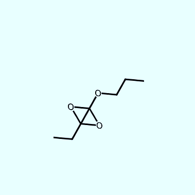 CCCOC12OC1(CC)O2